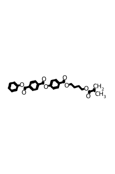 C=C(C)C(=O)OCCCCOC(=O)c1ccc(OC(=O)c2ccc(C(=O)Oc3ccccc3)cc2)cc1